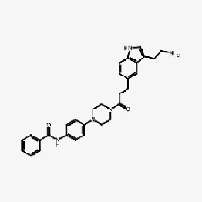 NCCc1c[nH]c2ccc(CCC(=O)N3CCN(c4ccc(NC(=O)c5ccccc5)cc4)CC3)cc12